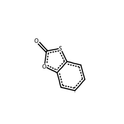 O=c1oc2c[c]ccc2s1